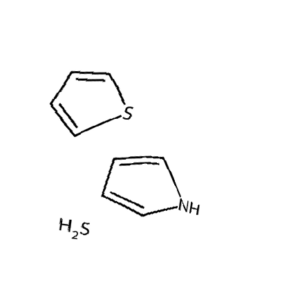 S.c1cc[nH]c1.c1ccsc1